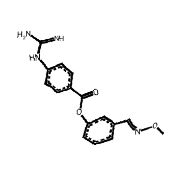 CON=Cc1cccc(OC(=O)c2ccc(NC(=N)N)cc2)c1